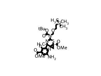 COC(=O)c1cc(N)cc([C@@]2(C)N=C(N(COCC[Si](C)(C)C)C(=O)OC(C)(C)C)S[C@@]3(C(=O)OC)C[C@H]32)c1F